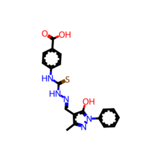 Cc1nn(-c2ccccc2)c(O)c1C=NNC(=S)Nc1ccc(C(=O)O)cc1